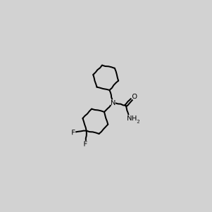 NC(=O)N(C1CCCCC1)C1CCC(F)(F)CC1